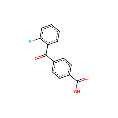 O=C(O)c1ccc(C(=O)c2ccccc2F)cc1